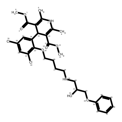 COC(=O)C1=C(C)NC(C)=C(C(=O)OC)C1c1cc(Cl)cc(Cl)c1OCCCCNCC(O)COc1ccccc1